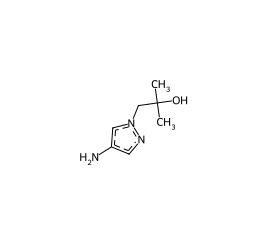 CC(C)(O)Cn1cc(N)cn1